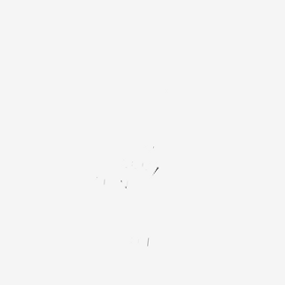 CC(C)(C)[N+]1(C(=O)[O-])C[C@@H](O)C[C@@H]1COCc1ccccc1